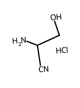 Cl.N#CC(N)CO